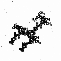 CCc1nc(NCCNc2ccc([N+](=O)[O-])cn2)nc(-c2ccc(C(C)(C)C)cc2)c1C(=O)O.CCc1nc(NCCNc2ccc([N+](=O)[O-])cn2)nc(-c2ccc(Cl)c(Cl)c2)c1C(=O)O.CCc1nc(NCCNc2ccc([N+](=O)[O-])cn2)nc(-c2ccc(OC)c(OC)c2)c1C(=O)O